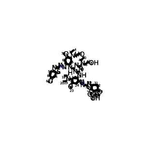 CCN(CC)c1cc(Nc2nc(Nc3cc(N(CC)CC)c(OC)cc3/N=N/c3nc4ccc(OC)c(S(=O)(=O)O)c4s3)nc(N(CCO)CCO)n2)c(/N=N/c2nc3ccc(OC)cc3s2)cc1OC